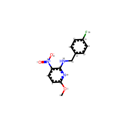 COc1ccc([N+](=O)[O-])c(NCc2ccc(F)cc2)n1